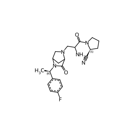 C[C@H](c1ccc(F)cc1)N1C(=O)C2CC1CN2CC(N)C(=O)N1CCC[C@H]1C#N